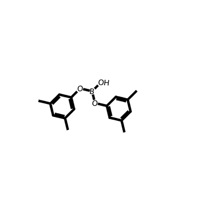 Cc1cc(C)cc(OB(O)Oc2cc(C)cc(C)c2)c1